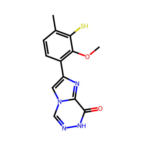 COc1c(-c2cn3cn[nH]c(=O)c3n2)ccc(C)c1S